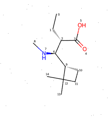 CC[C@H](C(=O)O)[C@H](NC)[C@@H]1CCC1(C)C